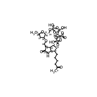 CC(=O)CCCCC1SCC2C1NC(=O)N2COC1C[C@H](C)O[C@@H]1COP(=O)(O)OP(=O)(O)OP(=O)(O)OP(=O)(O)O